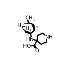 C/C=C(\C=C/C(C)C)NC1(C(=O)O)CCNCC1